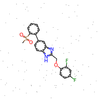 CS(=O)(=O)c1ccccc1-c1ccc2[nH]c(COc3ccc(F)cc3F)nc2c1